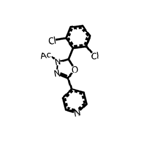 CC(=O)N1N=C(c2ccncc2)OC1c1c(Cl)cccc1Cl